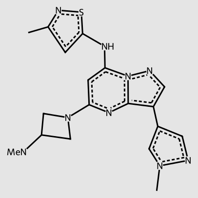 CNC1CN(c2cc(Nc3cc(C)ns3)n3ncc(-c4cnn(C)c4)c3n2)C1